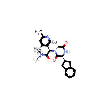 CC[C@H](C)[C@@H]1C(=O)N[C@H](C2Cc3ccccc3C2)C(=O)N1[C@@H](C(=O)N(C)C)c1cnc(C)cc1C